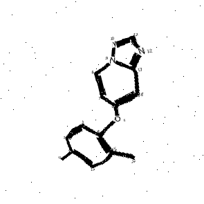 Cc1ccc(Oc2ccn3ncnc3c2)c(C)c1